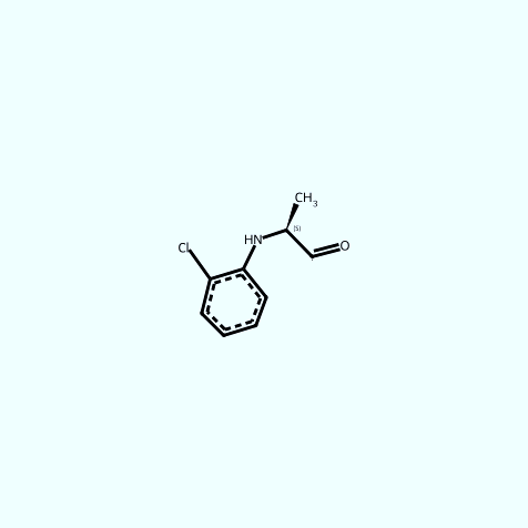 C[C@@H]([C]=O)Nc1ccccc1Cl